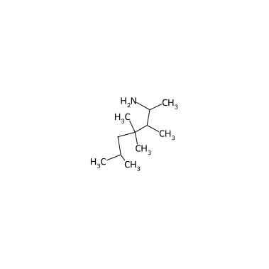 CC(C)CC(C)(C)C(C)C(C)N